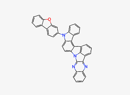 c1ccc2nc3c(nc2c1)c1cccc2c4c5c6ccccc6n(-c6ccc7c(c6)oc6ccccc67)c5ccc4n3c12